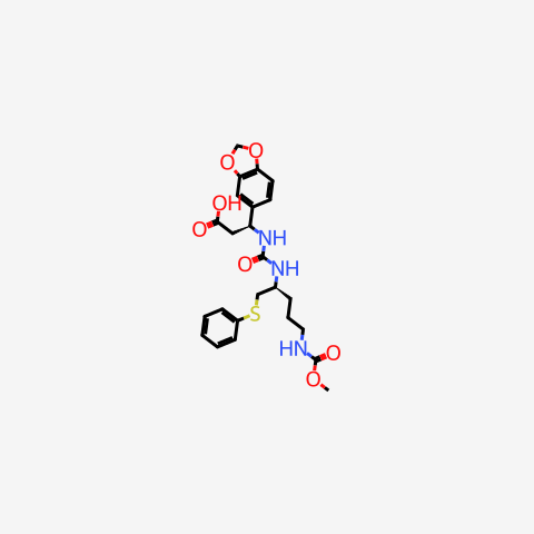 COC(=O)NCCC[C@@H](CSc1ccccc1)NC(=O)N[C@@H](CC(=O)O)c1ccc2c(c1)OCO2